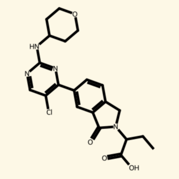 CCC(C(=O)O)N1Cc2ccc(-c3nc(NC4CCOCC4)ncc3Cl)cc2C1=O